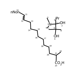 CC(C)C(O)(N(C)C)C(C)(C)O.CCCCCCCCCC=CCCCCCCCCC(C)C(=O)O